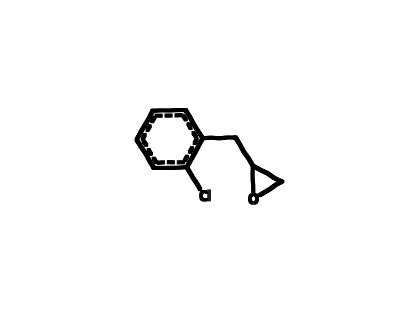 Clc1ccccc1CC1CO1